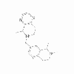 CC1c2cc(CN3CCc4nccnc4C3C)cnc2CCN1C